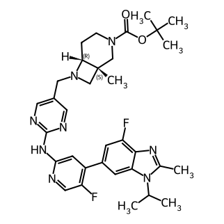 Cc1nc2c(F)cc(-c3cc(Nc4ncc(CN5C[C@@]6(C)CN(C(=O)OC(C)(C)C)CC[C@@H]56)cn4)ncc3F)cc2n1C(C)C